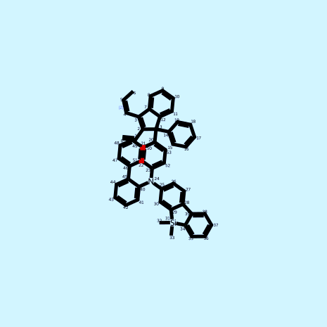 C=CC1=C(/C=C\C)c2ccccc2C1(c1ccccc1)c1ccc(N(c2ccc3c(c2)[Si](C)(C)c2ccccc2-3)c2ccccc2-c2ccccc2)cc1